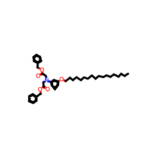 CCCCCCCCCCCCCCCCCCOc1cccc(N(CC(=O)OCc2ccccc2)CC(=O)OCc2ccccc2)c1